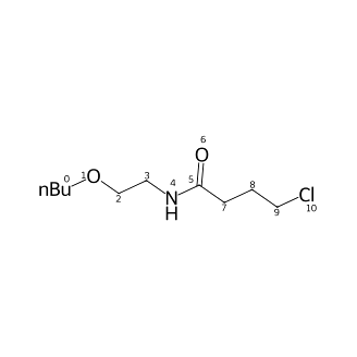 CCCCOCCNC(=O)CCCCl